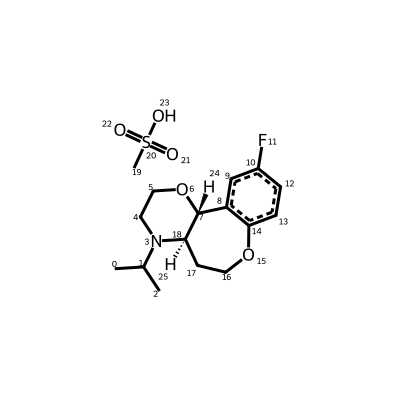 CC(C)N1CCO[C@@H]2c3cc(F)ccc3OCC[C@H]21.CS(=O)(=O)O